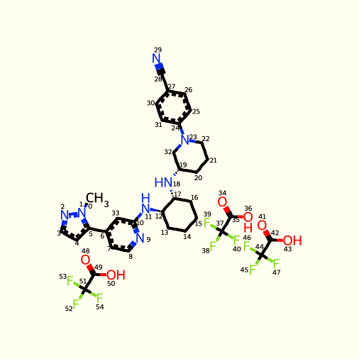 Cn1nccc1-c1ccnc(N[C@@H]2CCCC[C@H]2N[C@H]2CCCN(c3ccc(C#N)cc3)C2)c1.O=C(O)C(F)(F)F.O=C(O)C(F)(F)F.O=C(O)C(F)(F)F